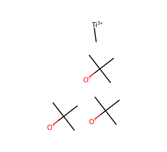 CC(C)(C)[O-].CC(C)(C)[O-].CC(C)(C)[O-].[CH3][Ti+3]